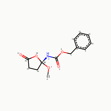 CCO[C@]1(NC(=O)OCc2ccccc2)CCC(=O)O1